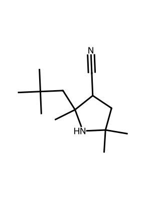 CC(C)(C)CC1(C)NC(C)(C)CC1C#N